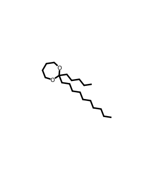 CCCCCCCCCCC1(CCCCC)OCCCCO1